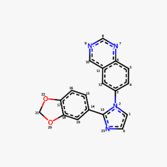 c1cn(-c2ccc3ncncc3c2)c(-c2ccc3c(c2)OCO3)n1